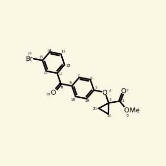 COC(=O)C1(Oc2ccc(C(=O)c3cccc(Br)c3)cc2)CC1